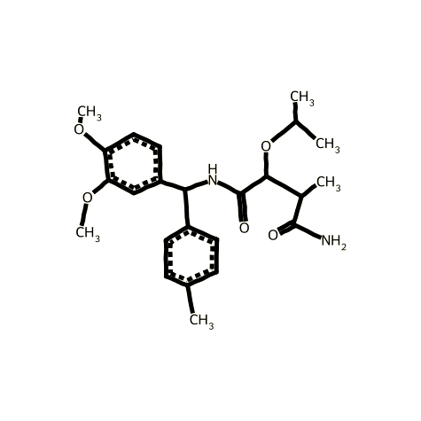 COc1ccc(C(NC(=O)C(OC(C)C)C(C)C(N)=O)c2ccc(C)cc2)cc1OC